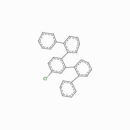 Clc1ccc(-c2ccccc2-c2ccccc2)c(-c2ccccc2-c2ccccc2)c1